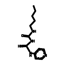 CCCCCNC(=O)NC(=N)Nc1ccncc1